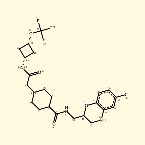 O=C(CN1CCC(C(=O)NCC2CNc3cc(Cl)ccc3O2)CC1)N[C@H]1C[C@@H](OC(F)(F)F)C1